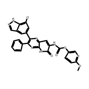 COc1ccc(OC(=O)Nc2cc3nc(-c4cc(Cl)c5[nH]ncc5c4)c(-c4ccccc4)nc3[nH]c2=O)cn1